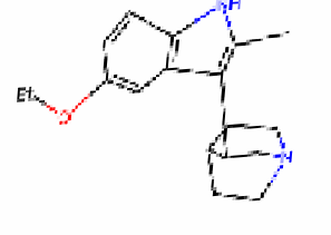 CCOc1ccc2[nH]c(C)c(C3CN4CCC3CC4)c2c1